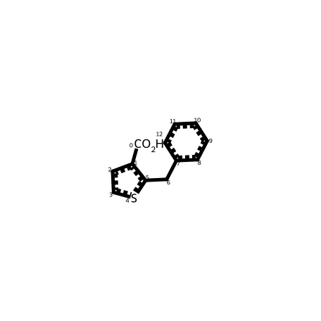 O=C(O)c1ccsc1Cc1ccccc1